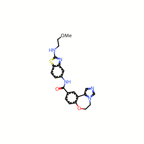 COCCNc1nc2cc(NC(=O)c3ccc4c(c3)-c3cncn3CCO4)ccc2s1